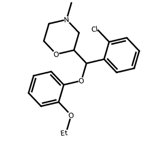 CCOc1ccccc1OC(c1ccccc1Cl)C1CN(C)CCO1